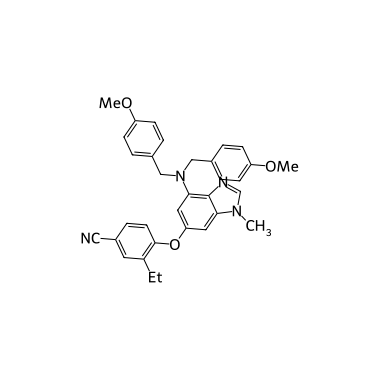 CCc1cc(C#N)ccc1Oc1cc(N(Cc2ccc(OC)cc2)Cc2ccc(OC)cc2)c2ncn(C)c2c1